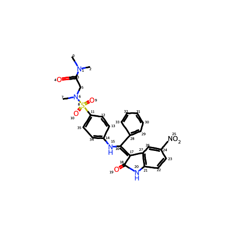 CN(C)C(=O)CN(C)S(=O)(=O)c1ccc(N/C(=C2\C(=O)Nc3ccc([N+](=O)[O-])cc32)c2ccccc2)cc1